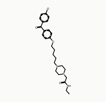 CCNC(=O)CN1CCN(CCCCCOc2ccc(C(=O)c3ccc(Cl)cc3)cc2)CC1